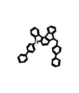 c1ccc(-c2ccc(CC3c4ccccc4-c4c3ccc3c4c4ccccc4n3-c3ccc(-c4ccccc4)cc3)cc2)cc1